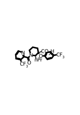 CCC[C@H]1N(C(=O)c2ncccc2C(F)(F)F)CCC[C@@]1(Oc1ccc(C(F)(F)F)cc1)C(=O)O